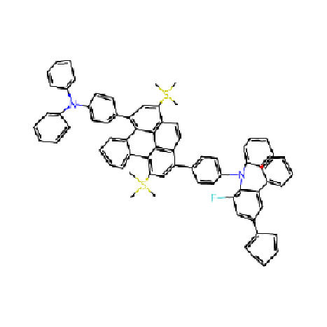 CS(C)(C)c1cc(-c2ccc(N(c3ccccc3)c3ccccc3)cc2)c2c3ccccc3c3c(S(C)(C)C)cc(-c4ccc(N(c5ccccc5)c5c(F)cc(-c6ccccc6)cc5-c5ccccc5)cc4)c4ccc1c2c43